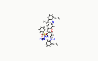 Cc1cccc(C)c1/N=c1\ccc2c(-c3ccccc3S(=O)(=O)NN)c3ccc(Nc4c(C)cccc4C)cc3oc-2c1